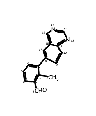 Cc1c(C=O)cccc1-c1ccc2ncncc2c1